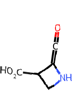 O=C=C1NCC1C(=O)O